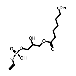 C=COP(=O)(O)OCC(O)COC(=O)CCCCCCCCCCCCCCC